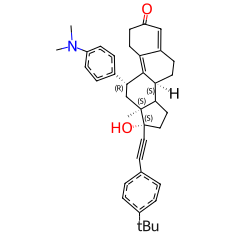 CN(C)c1ccc([C@H]2C[C@@]3(C)C(CC[C@@]3(O)C#Cc3ccc(C(C)(C)C)cc3)[C@@H]3CCC4=CC(=O)CCC4=C32)cc1